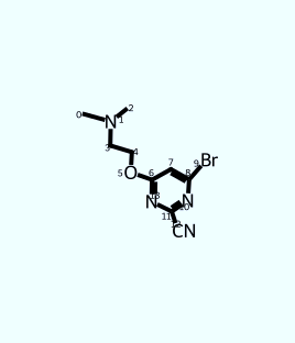 CN(C)CCOc1cc(Br)nc(C#N)n1